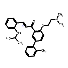 Cc1ccccc1-c1ccc(OCCN(C)C)c(C(=O)/C=C/c2ccccc2NC(C)O)c1